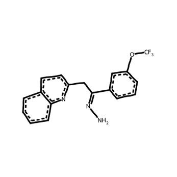 NN=C(Cc1ccc2ccccc2n1)c1cccc(OC(F)(F)F)c1